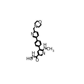 CNc1ncc(C(=O)NO)cc1-c1ccc(-c2ccc(CN3CCOCC3)nc2)cc1